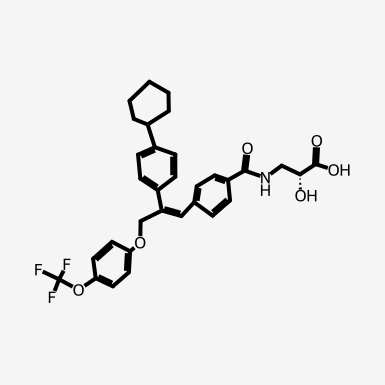 O=C(NC[C@@H](O)C(=O)O)c1ccc(/C=C(/COc2ccc(OC(F)(F)F)cc2)c2ccc(C3CCCCC3)cc2)cc1